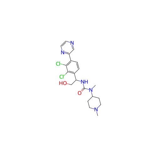 CN1CCC(N(C)C(=O)NC(CO)c2ccc(-c3cnccn3)c(Cl)c2Cl)CC1